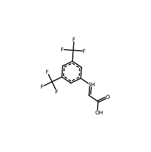 O=C(O)C=[SH]c1cc(C(F)(F)F)cc(C(F)(F)F)c1